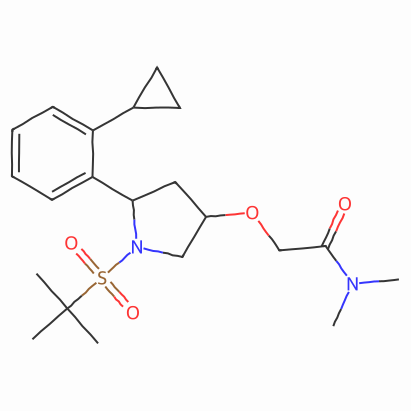 CN(C)C(=O)COC1CC(c2ccccc2C2CC2)N(S(=O)(=O)C(C)(C)C)C1